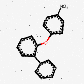 O=[N+]([O-])c1ccc(Oc2cc[c]cc2-c2ccccc2)cc1